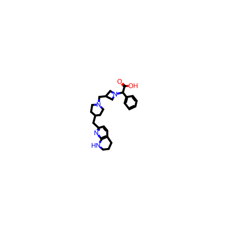 O=C(O)C(c1ccccc1)N1CC(CN2CCC(Cc3ccc4c(n3)NCCC4)CC2)C1